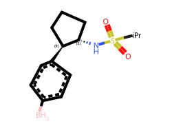 Bc1ccc([C@H]2CCC[C@@H]2NS(=O)(=O)C(C)C)cc1